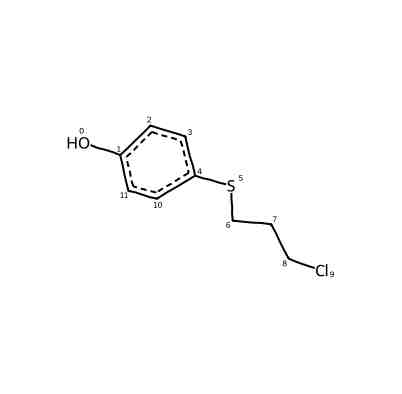 Oc1ccc(SCCCCl)cc1